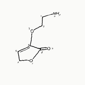 NCCOC1=CCOC1=O